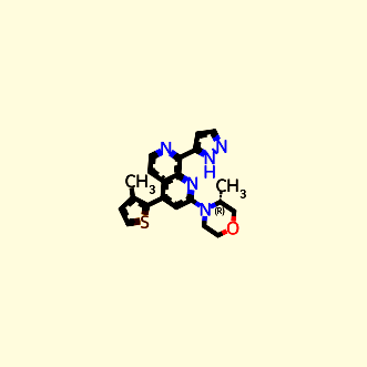 Cc1ccsc1-c1cc(N2CCOC[C@H]2C)nc2c(-c3ccn[nH]3)nccc12